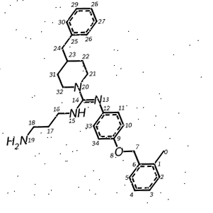 Cc1ccccc1COc1ccc(/N=C(\NCCCN)N2CCC(Cc3ccccc3)CC2)cc1